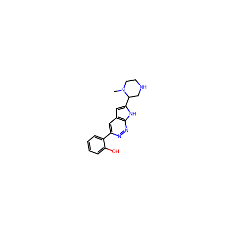 CN1CCNCC1c1cc2cc(-c3ccccc3O)nnc2[nH]1